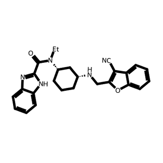 CCN(C(=O)c1nc2ccccc2[nH]1)[C@H]1CCC[C@@H](NCc2oc3ccccc3c2C#N)C1